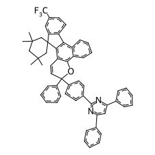 CC1(C)CC(C)(C)CC2(C1)c1cc(C(F)(F)F)ccc1-c1c2c2c(c3ccccc13)OC(c1ccccc1)(c1ccc(-c3nc(-c4ccccc4)cc(-c4ccccc4)n3)cc1)C=C2